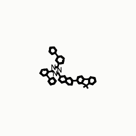 CC1(C)c2ccccc2-c2ccc(-c3ccc4ccc(-c5nc(-c6cccc(-c7ccccc7)c6)nc(-c6ccccc6-c6ccccc6)n5)cc4c3)cc21